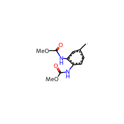 [CH2]c1ccc(NC(=O)OC)c(NC(=O)OC)c1